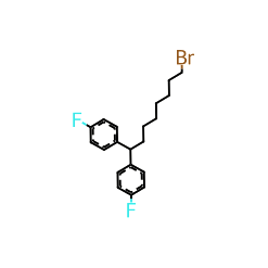 Fc1ccc(C(CCCCCCCBr)c2ccc(F)cc2)cc1